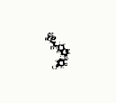 O=C(CCS(=O)(=O)C(F)(F)F)N1CCc2ccc(Oc3ccc(Cl)cc3)cc2C1